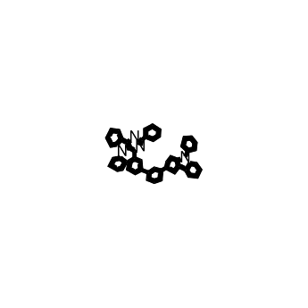 c1ccc(-c2nc(-c3cccc(-c4cccc(-c5ccc6c(c5)c5ccccc5n6-c5ccccc5)c4)c3)c3c(n2)c2ccccc2n3-c2ccccc2)cc1